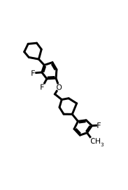 Cc1ccc(C2CCC(COc3ccc(C4CCCCC4)c(F)c3F)CC2)cc1F